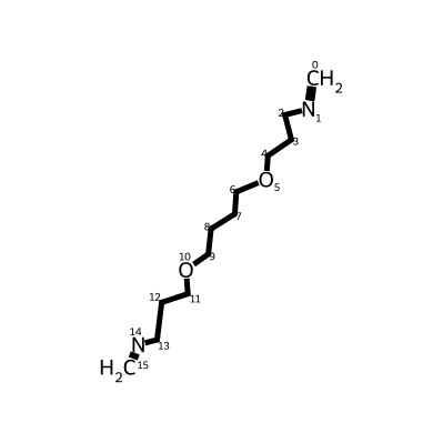 C=NCCCOCCCCOCCCN=C